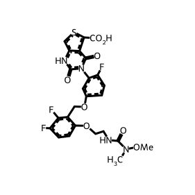 CON(C)C(=O)NCCOc1ccc(F)c(F)c1COc1ccc(F)c(-n2c(=O)[nH]c3csc(C(=O)O)c3c2=O)c1